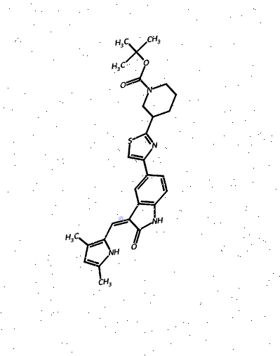 Cc1cc(C)c(/C=C2\C(=O)Nc3ccc(-c4csc(C5CCCN(C(=O)OC(C)(C)C)C5)n4)cc32)[nH]1